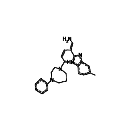 C=C(/C=C\C(=C/N)c1nc2cc(C)ccc2[nH]1)N1CCCN(c2ccccc2)CC1